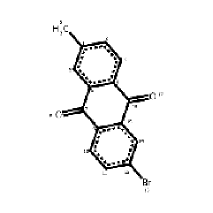 Cc1ccc2c(c1)C(=O)c1ccc(Br)cc1C2=O